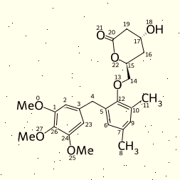 COc1cc(Cc2cc(C)cc(C)c2OC[C@@H]2C[C@@H](O)CC(=O)O2)cc(OC)c1OC